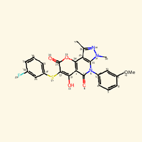 COc1cccc(-n2c(=O)c3c(O)c(Sc4cccc(F)c4)c(=O)oc3c3c(C)nn(C)c32)c1